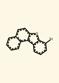 [2H]c1cccc2c1oc1ccc3ccccc3c12